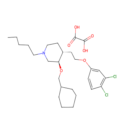 CCCCCN1CC[C@H](CCOc2ccc(Cl)c(Cl)c2)[C@@H](OCC2CCCCC2)C1.O=C(O)C(=O)O